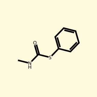 CNC(=O)Sc1ccccc1